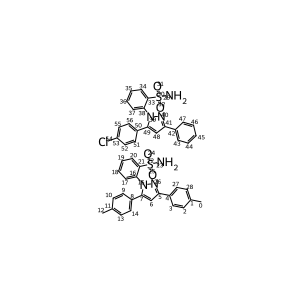 Cc1ccc(-c2cc(-c3ccc(C)cc3)n(-c3ccccc3S(N)(=O)=O)n2)cc1.NS(=O)(=O)c1ccccc1-n1nc(-c2ccccc2)cc1-c1ccc(Cl)cc1